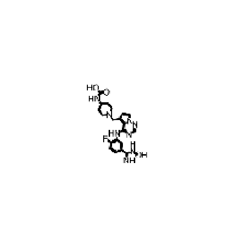 N=C(NO)c1ccc(F)c(Nc2ncnn3ccc(CN4CCC(NC(=O)O)CC4)c23)c1